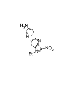 CCn1cc([N+](=O)[O-])c2ncccc21.NC1=C[CH]CN=C1